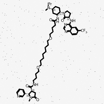 CC(C)N(C)[C@@H]1CC[C@H](N2CC[C@H](Nc3ncnc4ccc(C(F)(F)F)cc34)C2=O)[C@H](NC(=O)CCCCOCCCCCCCCOCCCCNC(=O)[C@H]2CC(=O)N(C)[C@@H]2c2cccnc2)C1